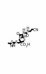 Cc1nnc(SCC2(C(=O)O)CS[C@@H]3C(NC(=O)NCCC#N)C(=O)N3C2)s1